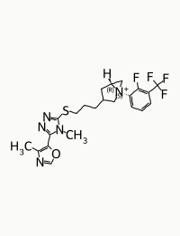 Cc1ncoc1-c1nnc(SCCCC2C[C@@H]3C[N@@+]3(c3cccc(C(F)(F)F)c3F)C2)n1C